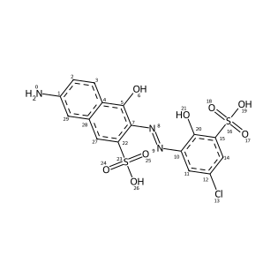 Nc1ccc2c(O)c(/N=N/c3cc(Cl)cc(S(=O)(=O)O)c3O)c(S(=O)(=O)O)cc2c1